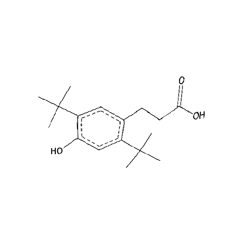 CC(C)(C)c1cc(CCC(=O)O)c(C(C)(C)C)cc1O